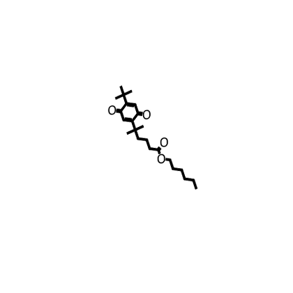 CCCCCCOC(=O)CCCC(C)(C)C1=CC(=O)C(C(C)(C)C)=CC1=O